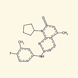 Cc1cc(Nc2ncc3c(C)cc(=O)n(C4CCCC4)c3n2)ccc1F